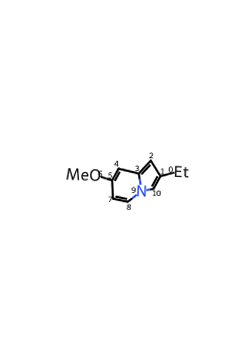 CCc1cc2cc(OC)ccn2c1